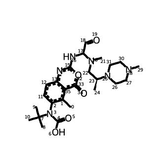 Cc1c(N(C(=O)O)C(C)(C)C)ccc2nc(NC(C=O)N(C)C[C@H](C)N3CCN(C)CC3)oc(=O)c12